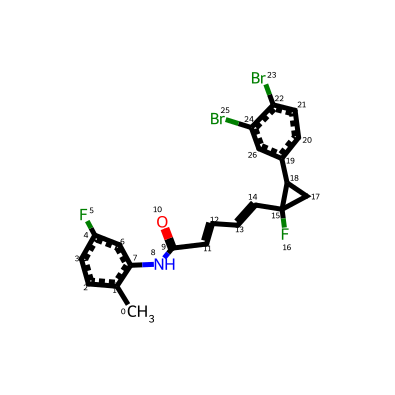 Cc1ccc(F)cc1NC(=O)/C=C/C=C/C1(F)CC1c1ccc(Br)c(Br)c1